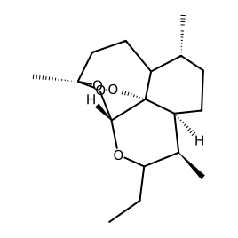 CCC1O[C@@H]2O[C@]3(C)CCC4[C@H](C)CC[C@@H]([C@H]1C)[C@]42OO3